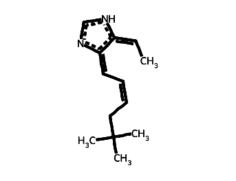 C/C=c1/[nH]cn/c1=C/C=C\CC(C)(C)C